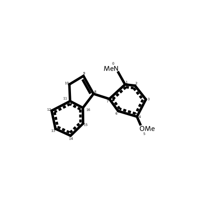 CNc1ccc(OC)cc1C1=CCc2ccccc21